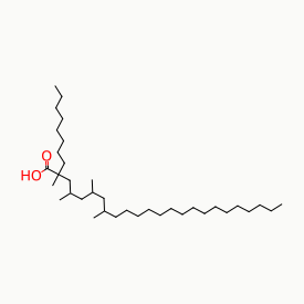 CCCCCCCCCCCCCCCCC(C)CC(C)CC(C)CC(C)(CCCCCCCC)C(=O)O